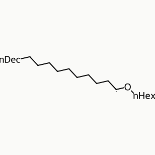 CCCCCCCCCCCCCCCCCCC[CH]OCCCCCC